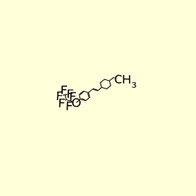 CCC1CCC(C=Cc2ccc(OC(F)(F)C(F)C(F)(F)F)cc2)CC1